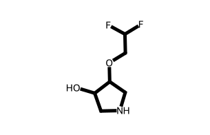 OC1CNCC1OCC(F)F